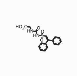 O=C(O)CNC(=O)NS(=O)(=O)C=C(c1ccccc1)c1ccccc1